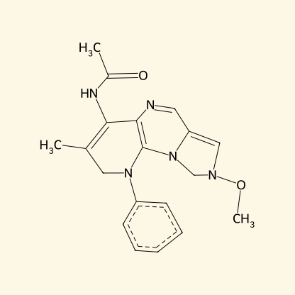 CON1C=C2C=NC3=C(N2C1)N(c1ccccc1)CC(C)=C3NC(C)=O